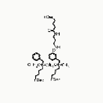 CCCCCCCCCCCCCC(=O)NCCCN[O-].CCCCCCCCCCCCCC[N+](C)(C)Cc1ccccc1.CCCCCCCCCCCCCC[N+](C)(C)Cc1ccccc1.[Cl-]